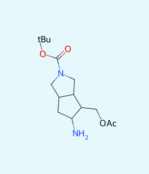 CC(=O)OCC1C(N)CC2CN(C(=O)OC(C)(C)C)CC21